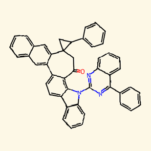 O=C1CC2(CC2c2ccccc2)c2cc3ccccc3cc2-c2ccc3c4ccccc4n(-c4nc(-c5ccccc5)c5ccccc5n4)c3c21